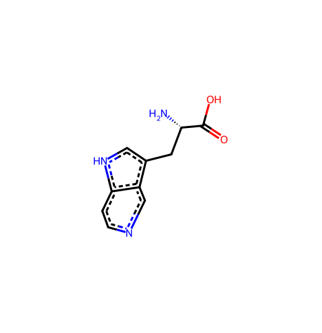 N[C@@H](Cc1c[nH]c2ccncc12)C(=O)O